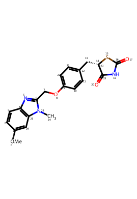 COc1ccc2nc(COc3ccc(C[C@@H]4SC(=O)NC4=O)cc3)n(C)c2c1